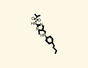 CCCCc1ccc(NCc2cnc(NS(=O)(=O)C(C)C)nc2C)cc1